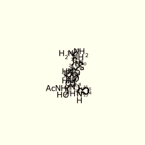 CC(=O)N[C@@H](CO)C(=O)N[C@@H](Cc1c[nH]c2ccccc12)C(=O)N[C@@H](CC(C)C)C(=O)N[C@@H](CCCNC(N)N)C(=O)c1nccs1